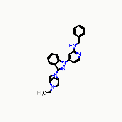 CCN1CC2CC1CN2c1nn(-c2ccnc(NCc3ccccc3)c2)c2ccccc12